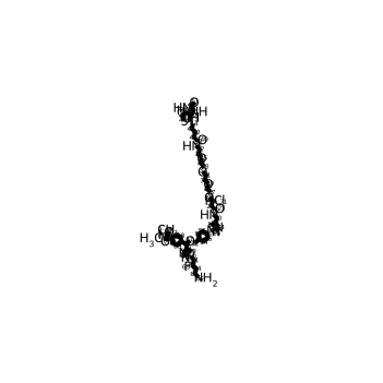 CN(C)S(=O)(=O)c1ccc(C(OCc2ccc(-n3cc(CNC(=O)CCOCCOCCOCCOCCNC(=O)CCCC[C@@H]4SC[C@@H]5NC(=O)N[C@@H]54)nn3)cc2)c2cn(C/C(F)=C/CN)nn2)cc1.Cl